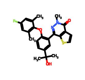 Cc1cc(F)cc(C)c1Oc1ccc(C(C)(C)O)cc1-c1nn(C)c(=O)c2ccsc12